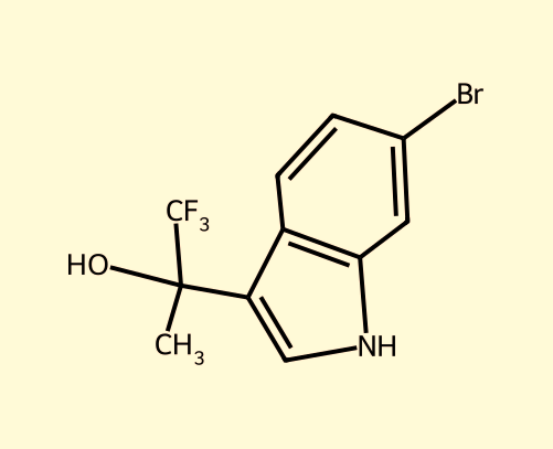 CC(O)(c1c[nH]c2cc(Br)ccc12)C(F)(F)F